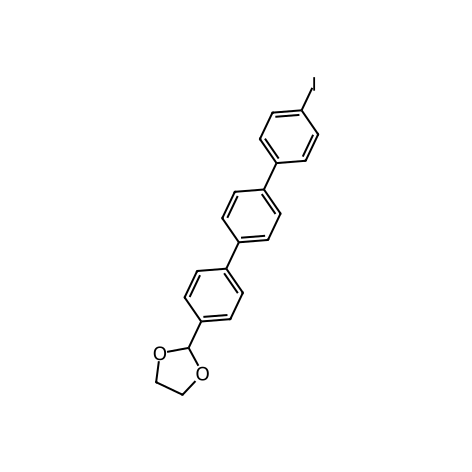 Ic1ccc(-c2ccc(-c3ccc(C4OCCO4)cc3)cc2)cc1